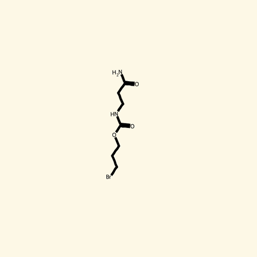 NC(=O)CCNC(=O)OCCCBr